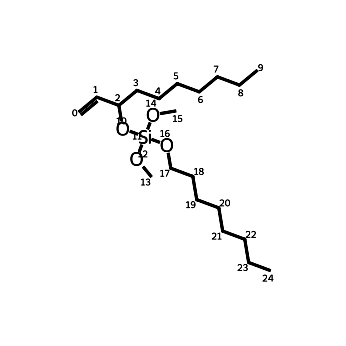 C=CC(CCCCCCC)O[Si](OC)(OC)OCCCCCCCC